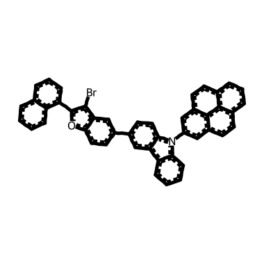 Brc1c(-c2cccc3ccccc23)oc2ccc(-c3ccc4c(c3)c3ccccc3n4-c3cc4ccc5cccc6ccc(c3)c4c56)cc12